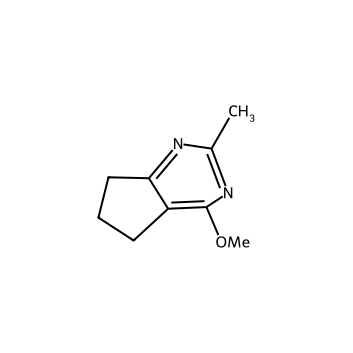 COc1nc(C)nc2c1CCC2